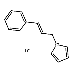 C(=Cc1ccccc1)C[c-]1cccc1.[Li+]